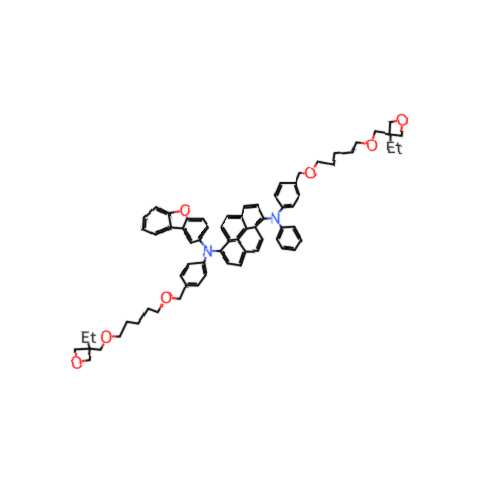 CCC1(COCCCCCOCc2ccc(N(c3ccccc3)c3ccc4ccc5c(N(c6ccc(COCCCCCOCC7(CC)COC7)cc6)c6ccc7oc8ccccc8c7c6)ccc6ccc3c4c65)cc2)COC1